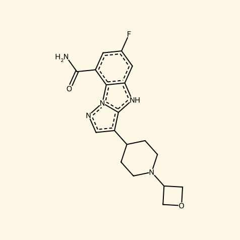 NC(=O)c1cc(F)cc2[nH]c3c(C4CCN(C5COC5)CC4)cnn3c12